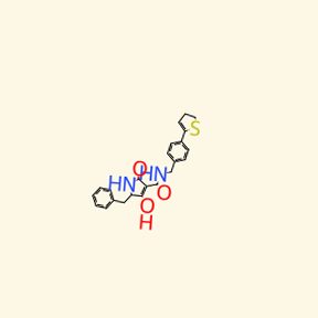 O=C(NCc1ccc(C2=CCCS2)cc1)C1=C(O)C(Cc2ccccc2)NC1=O